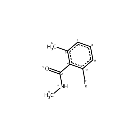 CNC(=O)c1c(C)cccc1F